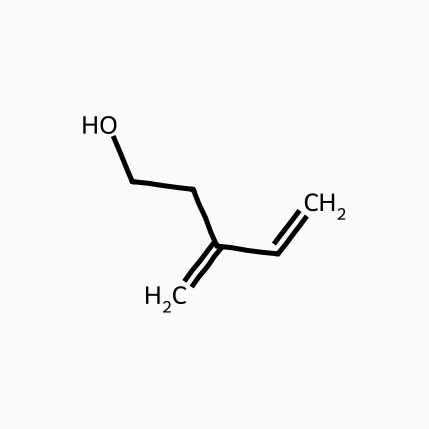 C=CC(=C)CCO